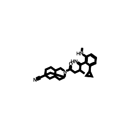 CNc1cccc(C2CC2)c1C(=N)C(C)CC(=O)N1CC2CCC3(C#N)CC2CC1C3